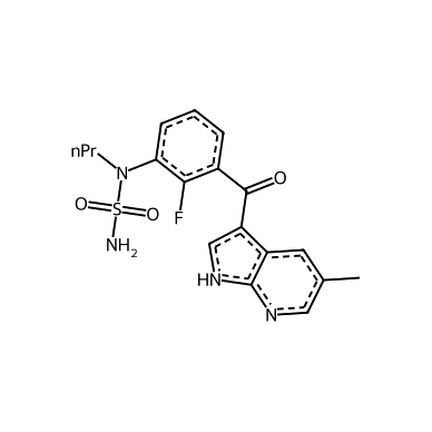 CCCN(c1cccc(C(=O)c2c[nH]c3ncc(C)cc23)c1F)S(N)(=O)=O